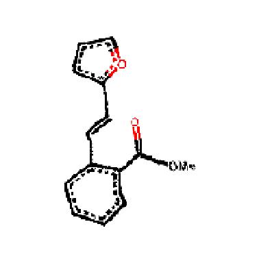 COC(=O)c1ccccc1/C=C/c1ccco1